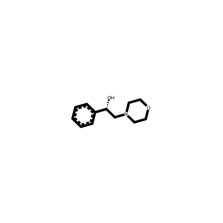 O[C@H](CN1CCOCC1)c1ccccc1